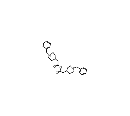 O=C(CC1CCN(Cc2ccccc2)CC1)OC(=O)CC1CCN(Cc2ccccc2)CC1